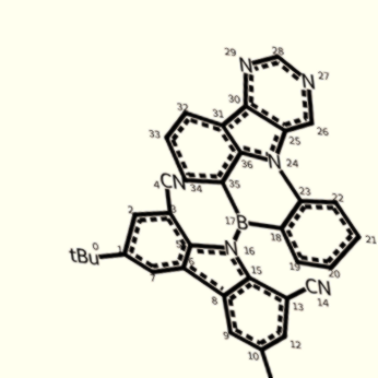 CC(C)(C)c1cc(C#N)c2c(c1)c1cc(C(C)(C)C)cc(C#N)c1n2B1c2ccccc2-n2c3cncnc3c3cccc1c32